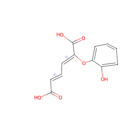 O=C(O)/C=C/C=C(\Oc1ccccc1O)C(=O)O